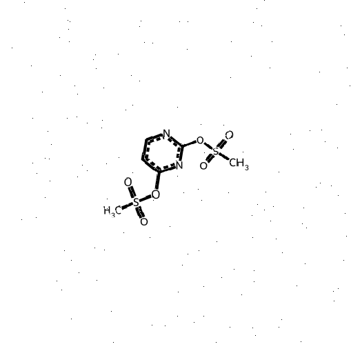 CS(=O)(=O)Oc1ccnc(OS(C)(=O)=O)n1